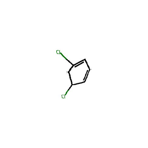 ClC1=C[C]=CC(Cl)[C]1